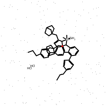 CCCc1ccc(-c2cccc3c2C=C(CC24CCC(CC2)C4)[CH]3[Zr]([CH3])([CH3])(=[SiH2])[CH]2C(CC34CCC(CC3)C4)=Cc3c(-c4ccc(CCC)cc4)cccc32)cc1.Cl.Cl